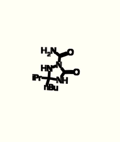 CCCCC1(C(C)C)NC(=O)N(C(N)=O)N1